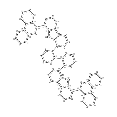 c1ccc(-c2cccc3c2oc2c(-c4cc5ccccc5c5ccccc45)cccc23)c(-c2ccccc2-c2cccc3c2oc2c(-c4cc5ccccc5c5ccccc45)cccc23)c1